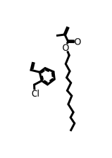 C=C(C)C(=O)OCCCCCCCCCCCC.C=Cc1ccccc1CCl